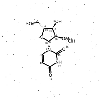 CO[C@@H]1[C@H](O)[C@@H](CO)O[C@H]1n1ccc(=O)[nH]c1=O.Cl